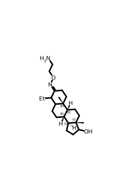 CCC1C(=NOCCN)CC[C@@]2(C)C1CC[C@@H]1[C@H]2CC[C@]2(C)C(O)CC[C@@H]12